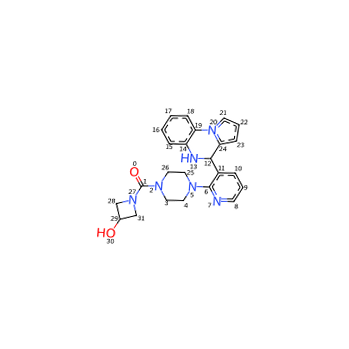 O=C(N1CCN(c2ncccc2C2Nc3ccccc3-n3cccc32)CC1)N1CC(O)C1